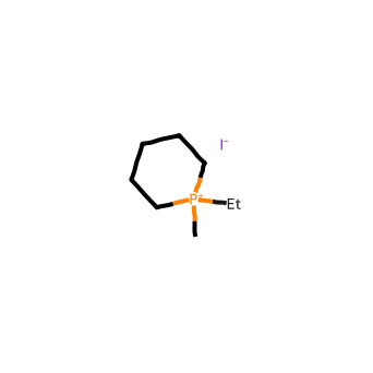 CC[P+]1(C)CCCCC1.[I-]